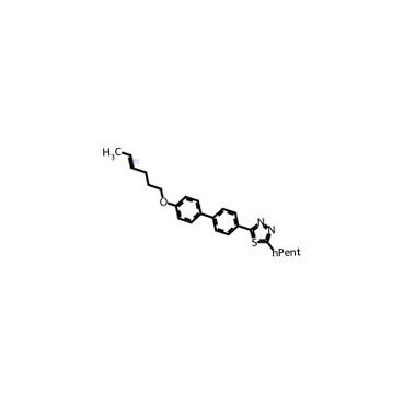 C/C=C/CCCOc1ccc(-c2ccc(-c3nnc(CCCCC)s3)cc2)cc1